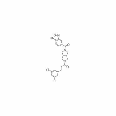 O=C(CCc1cc(Cl)cc(Cl)c1)N1CC2CN(C(=O)c3ccc4[nH]nnc4c3)CC2C1